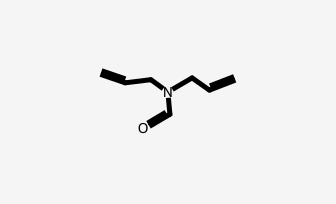 C=CCN(C=O)CC=C